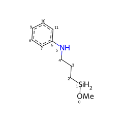 CO[SiH2]CCCNc1ccccc1